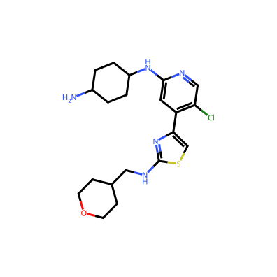 NC1CCC(Nc2cc(-c3csc(NCC4CCOCC4)n3)c(Cl)cn2)CC1